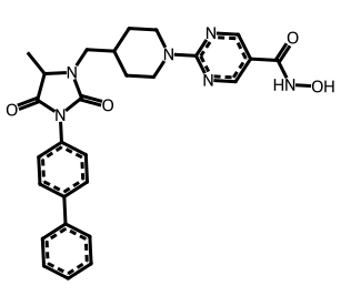 CC1C(=O)N(c2ccc(-c3ccccc3)cc2)C(=O)N1CC1CCN(c2ncc(C(=O)NO)cn2)CC1